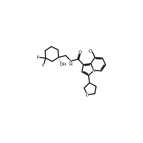 O=C(NC[C@]1(O)CCCC(F)(F)C1)c1cc(C2CCOC2)n2cccc(Cl)c12